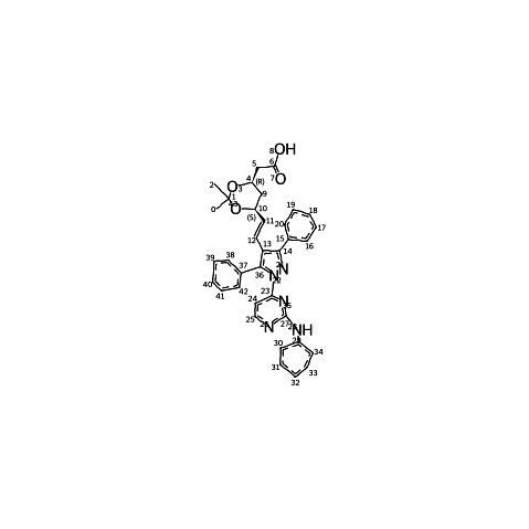 CC1(C)O[C@@H](CC(=O)O)C[C@@H](C=Cc2c(-c3ccccc3)nn(-c3ccnc(Nc4ccccc4)n3)c2-c2ccccc2)O1